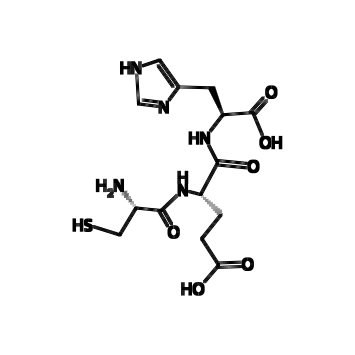 N[C@@H](CS)C(=O)N[C@@H](CCC(=O)O)C(=O)N[C@@H](Cc1c[nH]cn1)C(=O)O